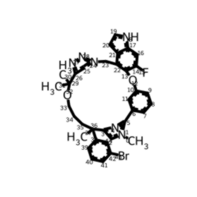 Cn1cc2nc1-c1cccc(c1)Oc1c(F)cc3[nH]ccc3c1Cn1cc(nn1)C(C)(C)OCCCC2(C)c1cccc(Br)c1